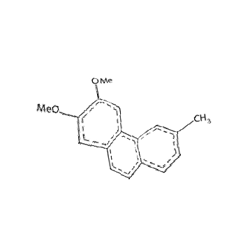 COc1cc2ccc3ccc(C)cc3c2cc1OC